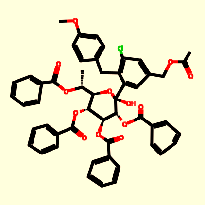 COc1ccc(Cc2c(Cl)cc(COC(C)=O)cc2[C@@]2(O)O[C@H]([C@@H](C)OC(=O)c3ccccc3)[C@@H](OC(=O)c3ccccc3)[C@H](OC(=O)c3ccccc3)[C@H]2OC(=O)c2ccccc2)cc1